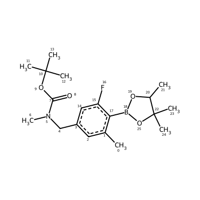 Cc1cc(CN(C)C(=O)OC(C)(C)C)cc(F)c1B1OC(C)C(C)(C)O1